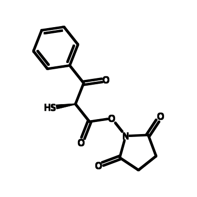 O=C(ON1C(=O)CCC1=O)[C@@H](S)C(=O)c1ccccc1